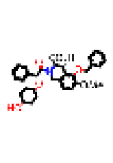 COc1ccc2c(c1OCc1ccccc1)C[C@H](C(=O)O)N(C(=O)[C@H](OC1CCC(O)CC1)c1ccccc1)C2